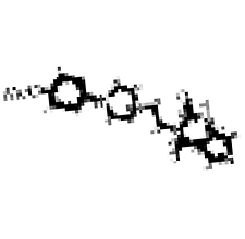 COc1ccc(N2CCN(CCn3c(=O)[nH]c4cscc4c3=O)CC2)cc1